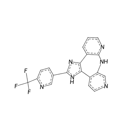 FC(F)(F)c1ccc(-c2nc3c([nH]2)-c2ccncc2Nc2ncccc2-3)cn1